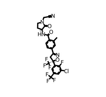 Cc1cc(C2=NO[C@](c3cc(C(F)(F)F)cc(Cl)c3F)(C(F)(F)F)C2)ccc1C(=O)N[C@H]1CCN(CC#N)C1=O